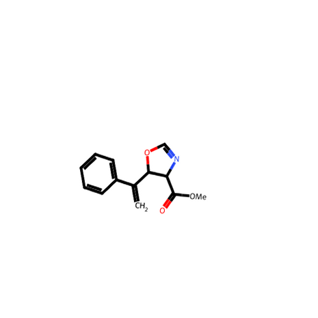 C=C(c1ccccc1)C1OC=NC1C(=O)OC